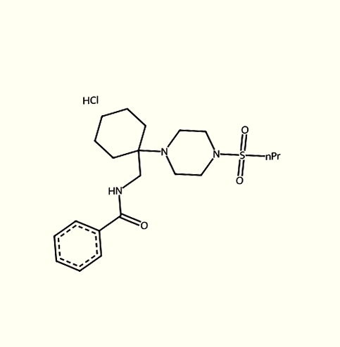 CCCS(=O)(=O)N1CCN(C2(CNC(=O)c3ccccc3)CCCCC2)CC1.Cl